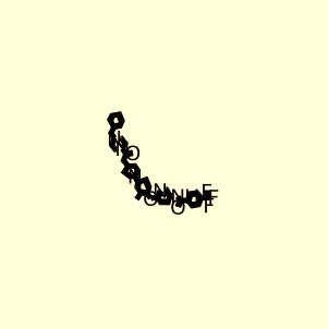 Cc1cc(N2CCC(CC(=O)N3CCN(Cc4ccccc4)CC3)CC2)ccc1Oc1ccc(NC(=O)c2ccc(C(F)(F)F)cc2)cn1